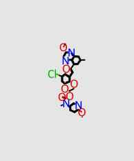 COc1ccc(N(C)C(=O)O[C@@H]2COc3c(cc(Cl)c4oc(-c5cc(C)cc6nc(OC)cnc56)cc34)O2)cn1